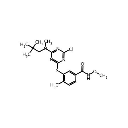 CONC(=O)c1ccc(C)c(Sc2nc(Cl)nc(N(C)CC(C)(C)C)n2)c1